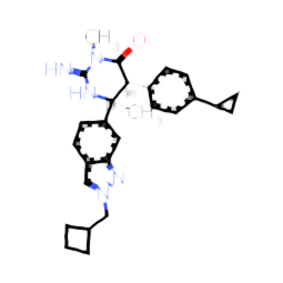 CN1C(=N)N[C@](C)(c2ccc3cn(CC4CCC4)nc3c2)[C@@H](c2ccc(C3CC3)cc2)C1=O